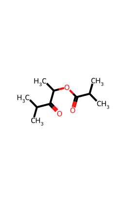 CC(C)C(=O)OC(C)C(=O)C(C)C